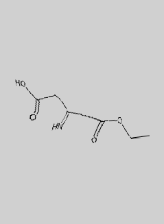 CCOC(=O)CC(=N)CC(=O)O